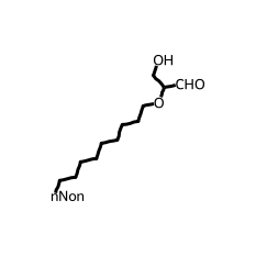 CCCCCCCCCCCCCCCCCCOC(C=O)CO